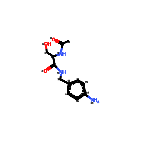 CC(=O)NC(CO)C(=O)NCc1ccc(N)cc1